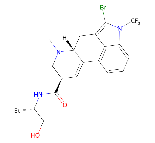 CC[C@@H](CO)NC(=O)[C@@H]1C=C2c3cccc4c3c(c(Br)n4C(F)(F)F)C[C@H]2N(C)C1